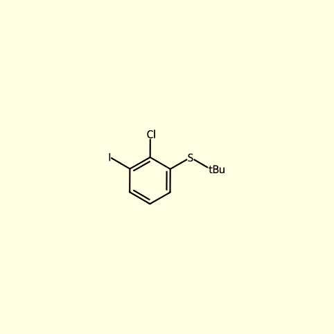 CC(C)(C)Sc1cccc(I)c1Cl